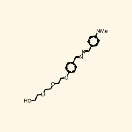 CNc1ccc(/C=N/N=C/c2ccc(OCCOCCOCCO)cc2)cc1